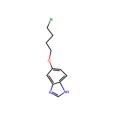 BrCCCCOc1ccc2[nH]cnc2c1